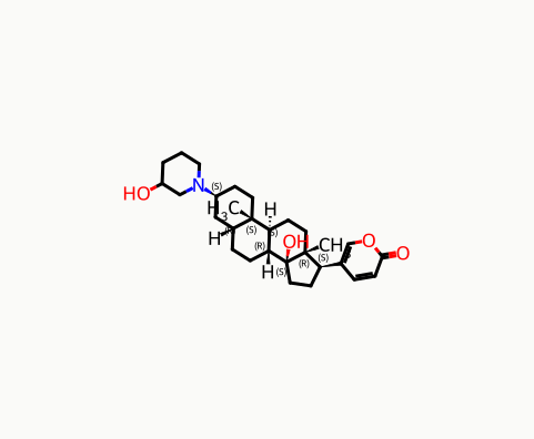 C[C@]12CC[C@H](N3CCCC(O)C3)C[C@H]1CC[C@@H]1[C@@H]2CC[C@]2(C)[C@@H](c3ccc(=O)oc3)CC[C@]12O